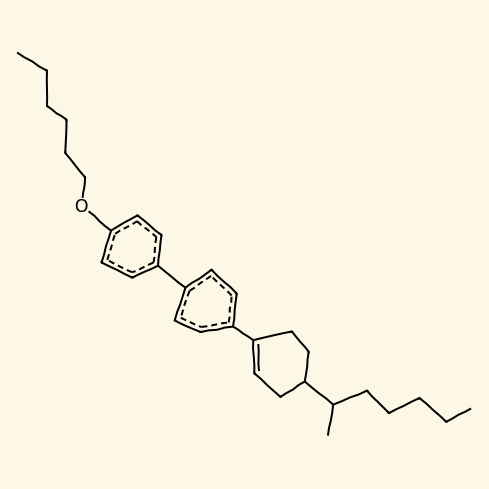 CCCCCCOc1ccc(-c2ccc(C3=CCC(C(C)CCCCC)CC3)cc2)cc1